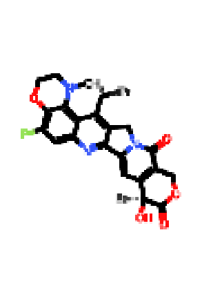 CC[C@@]1(O)C(=O)OCc2c1cc1n(c2=O)Cc2c-1nc1cc(F)c3c(c1c2CC(C)C)N(C)CCO3